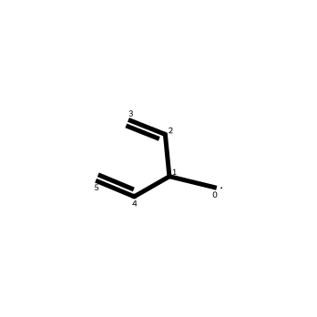 [CH2]C(C=C)C=C